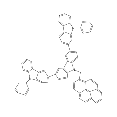 c1ccc(-n2c3ccccc3c3cc(-c4ccc5c(c4)c4cc(-c6ccc7c8ccccc8n(-c8ccccc8)c7c6)ccc4n5Cc4ccc5ccc6cccc7ccc4c5c67)ccc32)cc1